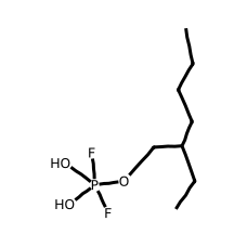 CCCCC(CC)COP(O)(O)(F)F